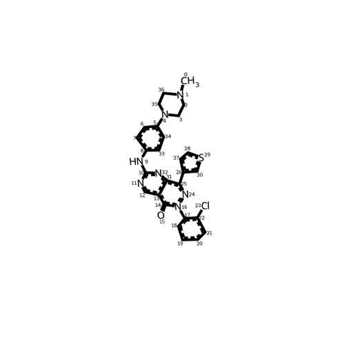 CN1CCN(c2ccc(Nc3ncc4c(=O)n(-c5ccccc5Cl)nc(-c5ccsc5)c4n3)cc2)CC1